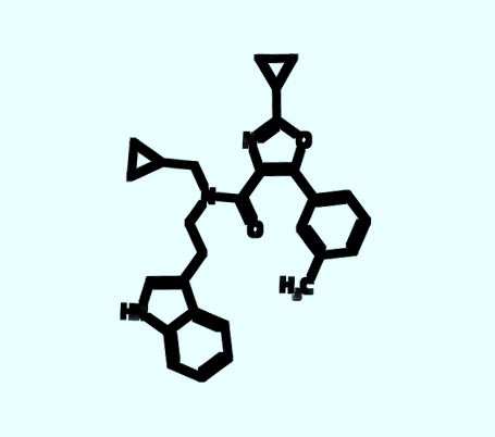 Cc1cccc(-c2oc(C3CC3)nc2C(=O)N(CCc2c[nH]c3ccccc23)CC2CC2)c1